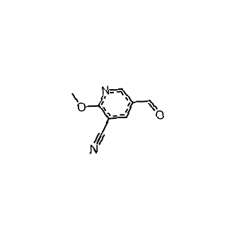 COc1ncc(C=O)cc1C#N